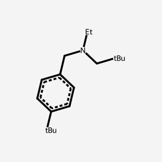 CCN(Cc1ccc(C(C)(C)C)cc1)CC(C)(C)C